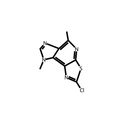 Cc1nc2sc(Cl)nc2c2c1ncn2C